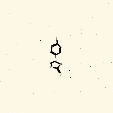 O=C1N[C@@H](c2ccc(F)cc2)CO1